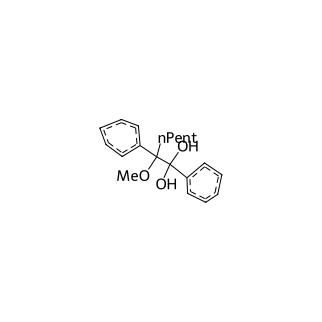 CCCCCC(OC)(c1ccccc1)C(O)(O)c1ccccc1